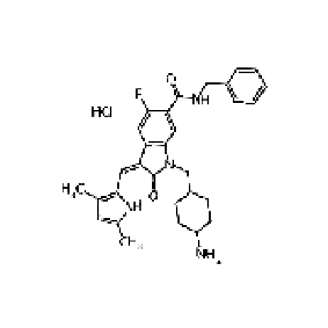 Cc1cc(C)c(/C=C2\C(=O)N(CC3CCC(N)CC3)c3cc(C(=O)NCc4ccccc4)c(F)cc32)[nH]1.Cl